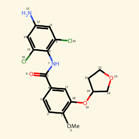 COc1ccc(C(=O)Nc2c(Cl)cc(N)cc2Cl)cc1OC1CCOC1